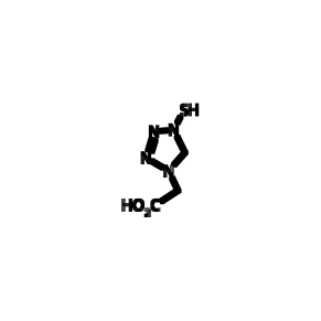 O=C(O)CN1CN(S)N=N1